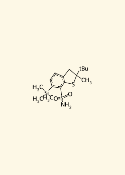 CC(C)(C)C1(C)Cc2ccc([Si](C)(C)C)c(S(N)(=O)=O)c2S1